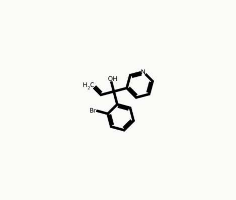 C=CC(O)(c1cccnc1)c1ccccc1Br